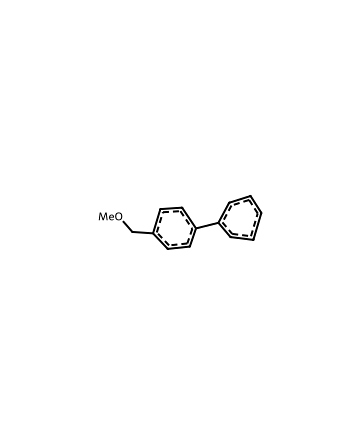 [CH2]OCc1ccc(-c2ccccc2)cc1